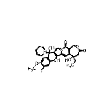 CCC1(O)CC(=O)OCc2c1cc1n(c2=O)CC2=C1Nc1cc(F)c(OC)cc1C2(C)N1CCCCC1